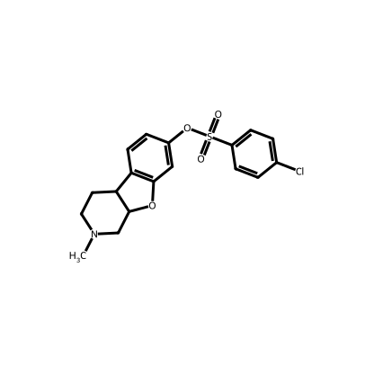 CN1CCC2c3ccc(OS(=O)(=O)c4ccc(Cl)cc4)cc3OC2C1